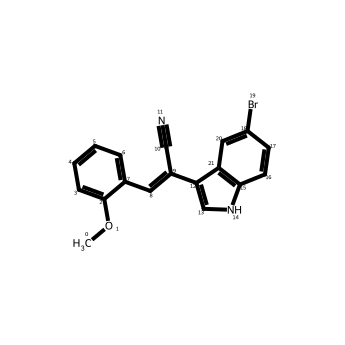 COc1ccccc1/C=C(\C#N)c1c[nH]c2ccc(Br)cc12